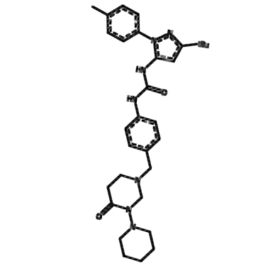 Cc1ccc(-n2nc(C(C)(C)C)cc2NC(=O)Nc2ccc(CN3CCC(=O)N(N4CCCCC4)C3)cc2)cc1